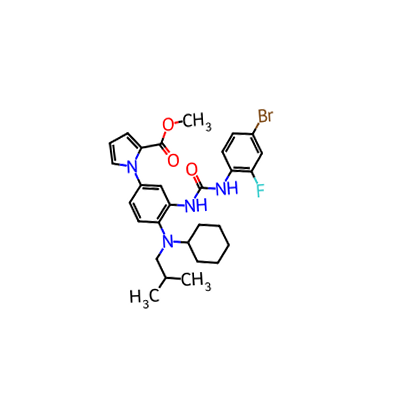 COC(=O)c1cccn1-c1ccc(N(CC(C)C)C2CCCCC2)c(NC(=O)Nc2ccc(Br)cc2F)c1